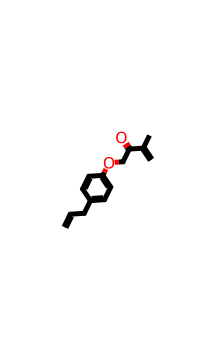 C=CCc1ccc(OCC(=O)C(=C)C)cc1